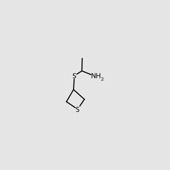 CC(N)SC1CSC1